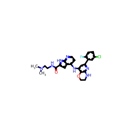 CN(C)CCNC(=O)c1cc2c(Nc3cc(-c4cc(Cl)ccc4F)nc4c3OCCN4)ccnc2[nH]1